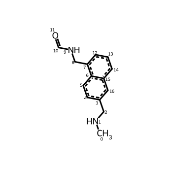 CNCc1ccc2c(CNC=O)cccc2c1